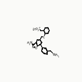 CCOC(=O)Cc1ccccc1OCc1cc(-c2cccc(CN)c2)c2onc(N)c2c1